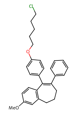 COc1ccc2c(c1)CCCC(c1ccccc1)=C2c1ccc(OCCCCCCl)cc1